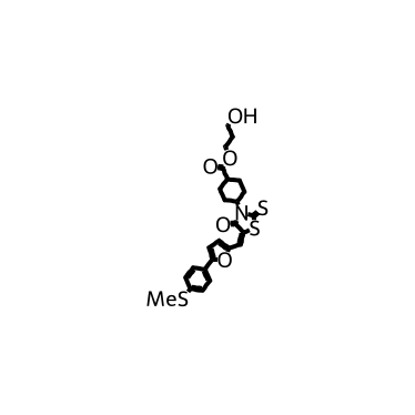 CSc1ccc(-c2ccc(/C=C3/SC(=S)N(C4CCC(C(=O)OCCCO)CC4)C3=O)o2)cc1